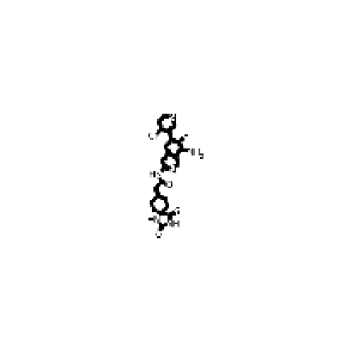 CN1C(=O)NC(=S)C12CCC(=CC(=O)Nc1cc3cc(-c4cnccc4Cl)c(F)c(N)c3cn1)CC2